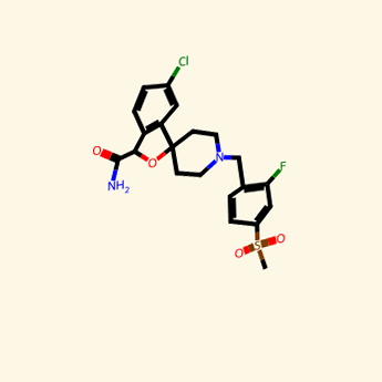 CS(=O)(=O)c1ccc(CN2CCC3(CC2)OC(C(N)=O)c2ccc(Cl)cc23)c(F)c1